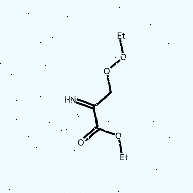 CCOOCC(=N)C(=O)OCC